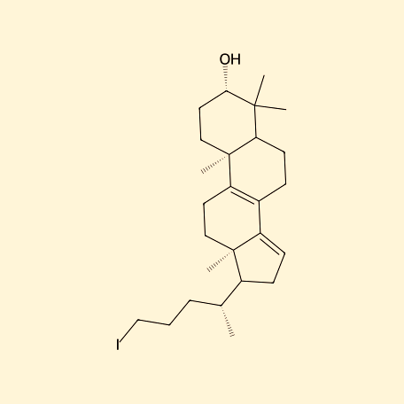 C[C@H](CCCI)C1CC=C2C3=C(CC[C@@]21C)[C@@]1(C)CC[C@H](O)C(C)(C)C1CC3